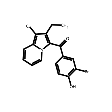 CCc1c(Cl)c2ccccn2c1C(=O)c1ccc(O)c(Br)c1